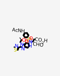 CC(=O)Nc1ccc(S(=O)(=O)NC(C=O)CC(=O)O)c(O[C@H](C)Cn2c(-c3cscn3)nc3ccccc32)c1